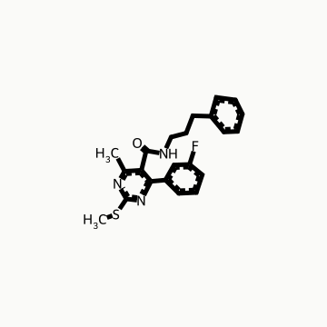 CSc1nc(C)c(C(=O)NCCCc2ccccc2)c(-c2cccc(F)c2)n1